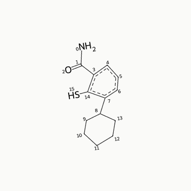 NC(=O)c1cccc(C2CCCCC2)c1S